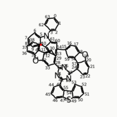 c1ccc(-n2c3ccccc3c3ccc(-c4ccc5oc6cccc(-c7nc(-c8ccc9c(c8)oc8ccccc89)nc(-c8cccc9sc%10ccccc%10c89)n7)c6c5c4)cc32)cc1